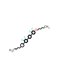 C/C=C/CCC1CC=C(c2ccc(-c3ccc(-c4ccc(OCCCCCC)c(F)c4F)cc3)c(F)c2F)CC1